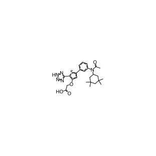 CC(=O)N(c1cccc(-c2cc(OCC(=O)O)c(-c3nn[nH]n3)s2)c1)C1CC(C)(C)CC(C)(C)C1